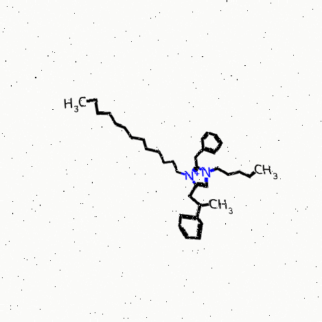 CCCCCCCCCCCCC[n+]1c(CC(C)c2ccccc2)cn(CCCCC)c1Cc1ccccc1